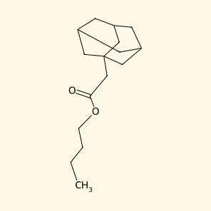 CCCCOC(=O)CC12CC3CC(CC(C3)C1)C2